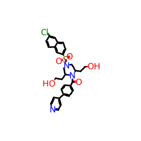 O=C(c1ccc(-c2ccncc2)cc1)N1C(CCO)CN(S(=O)(=O)c2ccc3cc(Cl)ccc3c2)CC1CCO